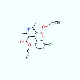 C=CCOC(=O)C1=C(C)NC(C)=C(C(=O)OCCC#N)C1c1cccc(Cl)c1